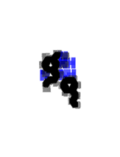 CCCc1ccc(Nc2cc(C)nc3ccc4cn[nH]c4c23)cc1